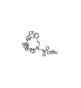 CC(C)(C)OC(=O)NCCN1C/C=C/c2ccccc2-c2nc(ccc2C(F)(F)F)NS(=O)(=O)c2cccc1n2